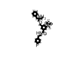 CCC(N)(COCc1cc(C(=O)NCCc2ccc(F)cc2)cc(N(C)S(C)(=O)=O)c1)Cc1ccccc1